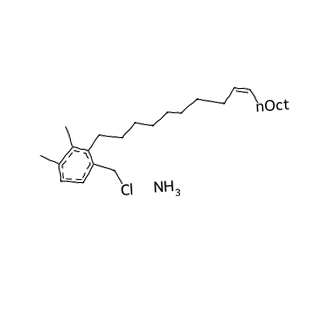 CCCCCCCC/C=C\CCCCCCCCc1c(CCl)ccc(C)c1C.N